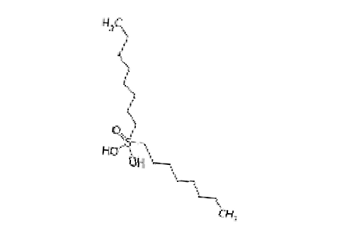 CCCCCCCCS(=O)(O)(O)CCCCCCCC